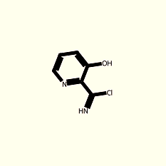 N=C(Cl)c1ncccc1O